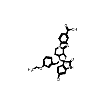 CCOc1cccc(CN2C3CCn4c(nc5cc(C(=O)O)ccc54)C3C[C@@]23C(=O)Nc2cc(Cl)ccc23)c1